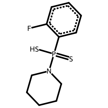 Fc1ccccc1P(=S)(S)N1CCCCC1